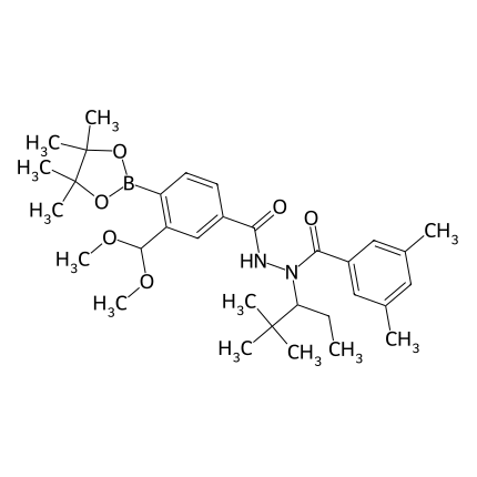 CCC(N(NC(=O)c1ccc(B2OC(C)(C)C(C)(C)O2)c(C(OC)OC)c1)C(=O)c1cc(C)cc(C)c1)C(C)(C)C